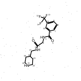 O=C(CNC(=O)c1cccc(C(F)(F)F)c1)NCC1CCNCC1